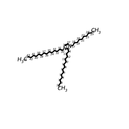 CCCCCCCCCCCCCCCC1N(CCCCCCCCCC)C=CN1CCCCCCCCCCCCCCC